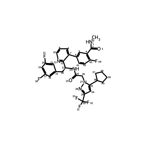 CNC(=O)c1cc(-c2cccnc2[C@H](Cc2cc(F)cc(F)c2)NC(=O)Cn2nc(C(F)(F)F)cc2C2CCCC2)ccc1F